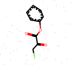 O=C(CF)C(=O)Oc1ccccc1